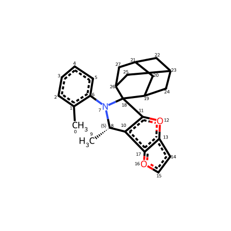 Cc1ccccc1N1[C@@H](C)c2c(oc3ccoc23)C12C1CC3CC(C1)CC2C3